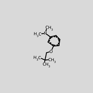 CN(C)c1cccc(OCC(C)(C)C)c1